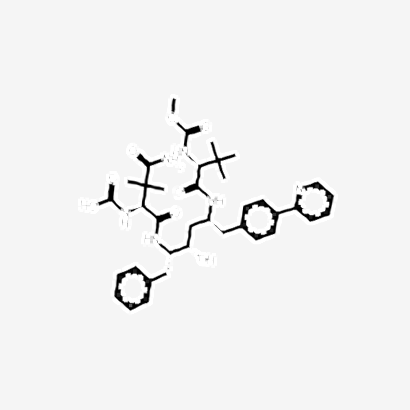 COC(=O)N[C@H](C(=O)N[C@@H](Cc1ccc(-c2ccccn2)cc1)C[C@H](O)[C@H](Cc1ccccc1)NC(=O)[C@@H](NC(=O)O)C(C)(C)C(N)=O)C(C)(C)C